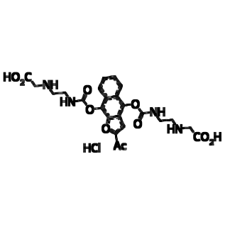 CC(=O)c1cc2c(OC(=O)NCCNCC(=O)O)c3ccccc3c(OC(=O)NCCNCC(=O)O)c2o1.Cl